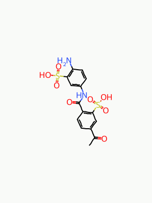 CC(=O)c1ccc(C(=O)Nc2ccc(N)c(S(=O)(=O)O)c2)c(S(=O)(=O)O)c1